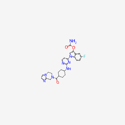 NC(=O)Oc1cn(-c2ccnc(NC3CCC(C(=O)N4CCn5ccnc5C4)CC3)n2)c2ccc(F)cc12